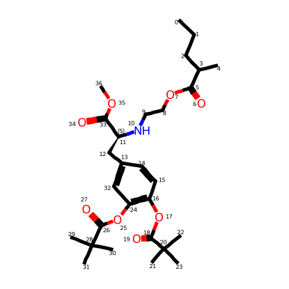 CCCC(C)C(=O)OCCN[C@@H](Cc1ccc(OC(=O)C(C)(C)C)c(OC(=O)C(C)(C)C)c1)C(=O)OC